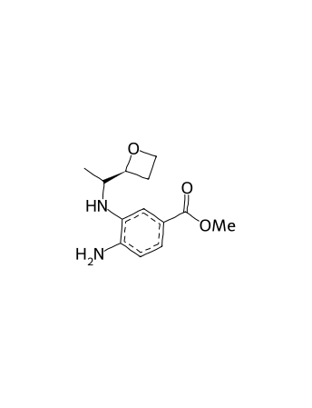 COC(=O)c1ccc(N)c(NC(C)[C@@H]2CCO2)c1